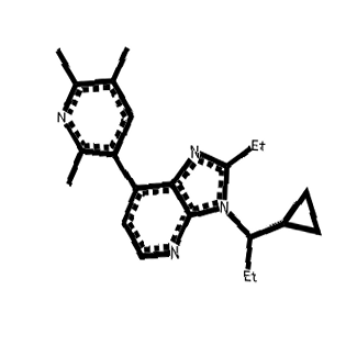 CCc1nc2c(-c3cc(C)c(C)nc3C)ccnc2n1C(CC)C1CC1